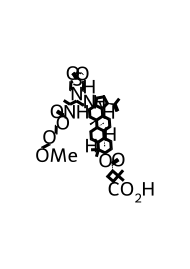 C=C(C)[C@@H]1CC[C@]2(NCC(C(C)NC(=O)OCCOCCOC)N3CCS(=O)(=O)CC3)CC[C@]3(C)[C@H](CC[C@@H]4[C@@]5(C)CC[C@H](OC(=O)[C@H]6C[C@@H](C(=O)O)C6(C)C)C(C)(C)[C@@H]5CC[C@]43C)[C@@H]12